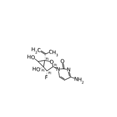 C=C(C)[C@]12O[C@@H](n3ccc(N)nc3=O)[C@H](F)[C@@]1(O)C2O